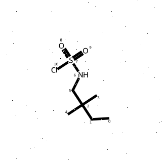 CCC(C)(C)CNS(=O)(=O)Cl